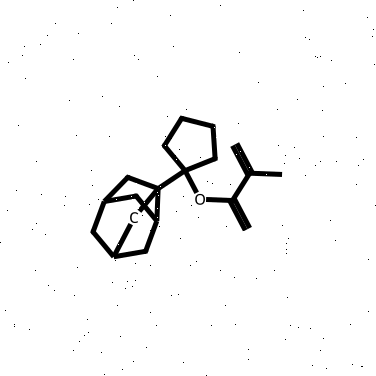 C=C(C)C(=C)OC1(C23CC4CC(CC2C4)C3)CCCC1